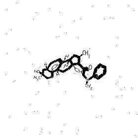 C[C@@H]1C[C@H]2[C@@H]3CC[C@H]4C[C@](C)(O)CC[C@]4(C)[C@H]3CC[C@]2(C)C1C(=O)CN(C)c1ccccc1